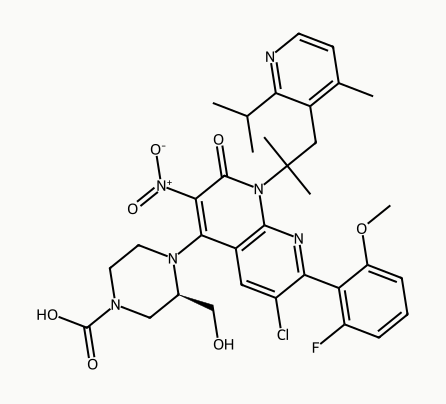 COc1cccc(F)c1-c1nc2c(cc1Cl)c(N1CCN(C(=O)O)C[C@@H]1CO)c([N+](=O)[O-])c(=O)n2C(C)(C)Cc1c(C)ccnc1C(C)C